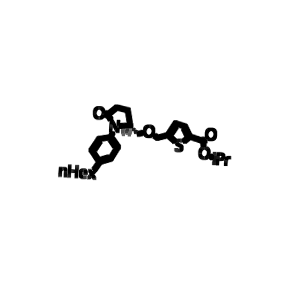 CCCCCCc1ccc(N2C(=O)CC[C@@H]2COCc2ccc(C(=O)OC(C)C)s2)cc1